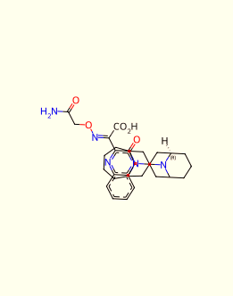 NC(=O)CON=C(C(=O)O)c1nc2ccccc2n(C2CC3CCC[C@H](C2)N3C2CC3CCCCC(C3)C2)c1=O